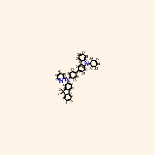 CC1(C)c2ccccc2-c2ccc(N(c3ccc(-c4ccc5c(c4)c4ccccc4n5C4C=CC=CC4)cc3)c3ccccn3)cc21